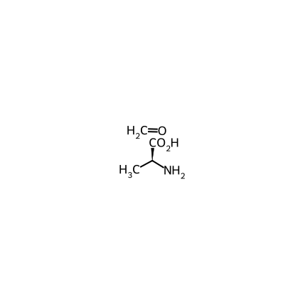 C=O.C[C@H](N)C(=O)O